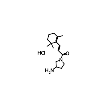 CC1=C(C=CC(=O)N2CCC(N)C2)C(C)(C)CCC1.Cl